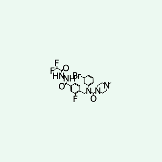 CN1CCN(C(=O)N(Cc2ccc(C(=O)NNC(=O)C(F)F)cc2F)c2cccc(Br)c2)CC1